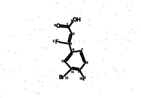 O=C(O)C=C(F)c1ccc(F)c(Br)c1